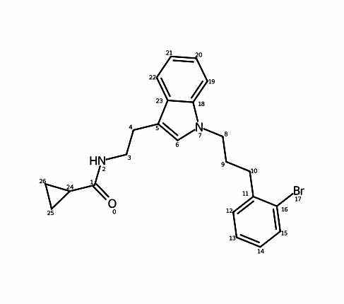 O=C(NCCc1cn(CCCc2ccccc2Br)c2ccccc12)C1CC1